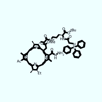 CC[C@H]1c2cc3[nH]c(c(CC(=O)OC)c4nc(cc5[nH]c(cc(n2)[C@@H]1C)c(C(C)=O)c5C)[C@@H](C)[C@@H]4CCC(=O)NCCC[C@H](NC(=O)CC[PH](c1ccccc1)(c1ccccc1)c1ccccc1)C(=O)OC(C)(C)C)c(C(=O)NN)c3C